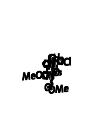 COC(=O)CCCN(C(=O)CCN(C(=O)c1ccc(Cl)cc1)c1c(C)cccc1C)c1ccc(OC)cc1